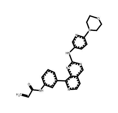 C=CC(=O)Nc1cccc(-c2nccc3cnc(Nc4ccc(N5CCOCC5)nc4)nc23)c1